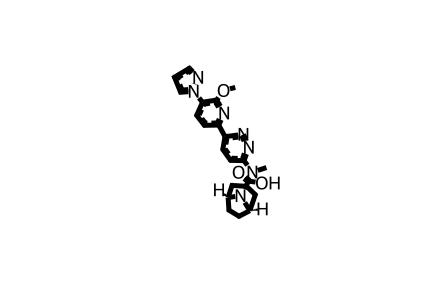 COc1nc(-c2ccc(N(C)[C@@H]3C[C@H]4CC[C@@H](C3)N4C(=O)O)nn2)ccc1-n1cccn1